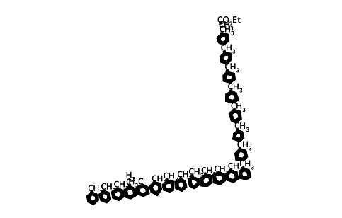 CCOC(C)=O.Cc1ccccc1.Cc1ccccc1.Cc1ccccc1.Cc1ccccc1.Cc1ccccc1.Cc1ccccc1.Cc1ccccc1.Cc1ccccc1.Cc1ccccc1.Cc1ccccc1.Cc1ccccc1.Cc1ccccc1.Cc1ccccc1.Cc1ccccc1.Cc1ccccc1.Cc1ccccc1.Cc1ccccc1.Cc1ccccc1.Cc1ccccc1.Cc1ccccc1